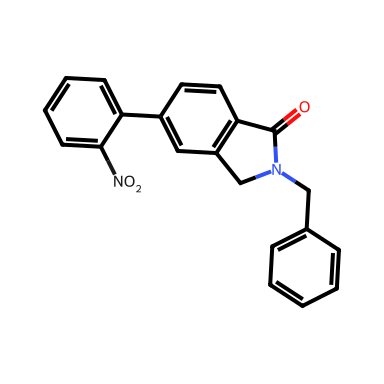 O=C1c2ccc(-c3ccccc3[N+](=O)[O-])cc2CN1Cc1ccccc1